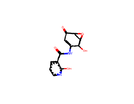 O=C(NC1=CC(=O)C2OC2C1O)c1cccnc1O